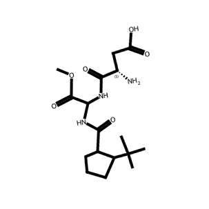 COC(=O)C(NC(=O)C1CCCC1C(C)(C)C)NC(=O)[C@@H](N)CC(=O)O